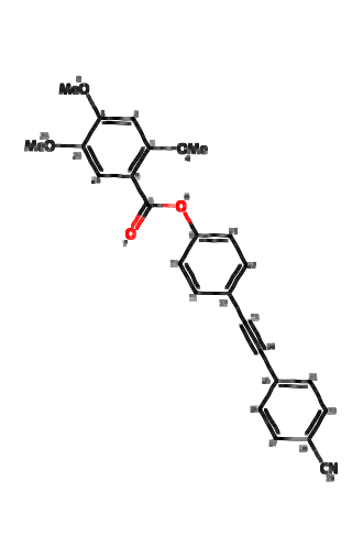 COc1cc(OC)c(C(=O)Oc2ccc(C#Cc3ccc(C#N)cc3)cc2)cc1OC